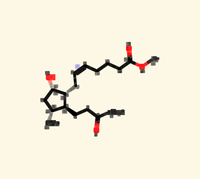 CCCCCCCC(=O)CC[C@@H]1[C@@H](C/C=C\CCCC(=O)OC(C)C)[C@@H](O)C[C@H]1OC